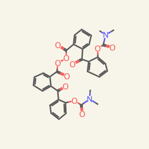 CN(C)C(=O)Oc1ccccc1C(=O)c1ccccc1C(=O)OOC(=O)c1ccccc1C(=O)c1ccccc1OC(=O)N(C)C